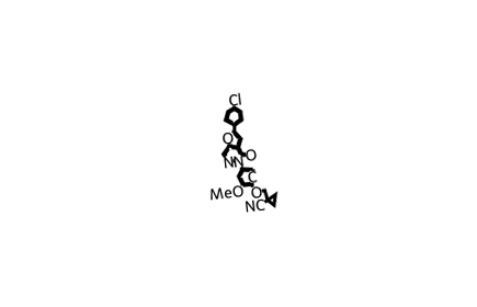 COc1cc(-n2ncc3oc(-c4ccc(Cl)cc4)cc3c2=O)ccc1OCC1(C#N)CC1